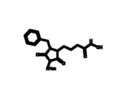 CCCCCCN1C(=O)C(CCCC(=O)NO)N(Cc2ccccc2)C1=O